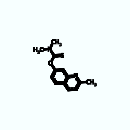 Cc1ccc2ccc(OC(=S)N(C)C)cc2n1